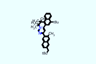 Cc1cc2cc(CC(C)(C)C)ccc2cc1-c1cc2[n+](cn1)C(C)(C)C(C)(C)c1c-2cc(C(C)(C)C)c2ccccc12